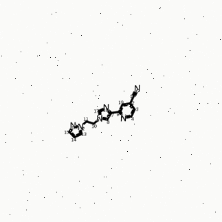 N#Cc1ccnc(-c2cn(CCn3cccn3)cn2)c1